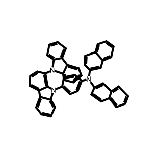 c1ccc2cc(N(c3ccc(-n4c5ccccc5c5cccc(-n6c7ccccc7c7ccccc76)c54)cc3)c3ccc4ccccc4c3)ccc2c1